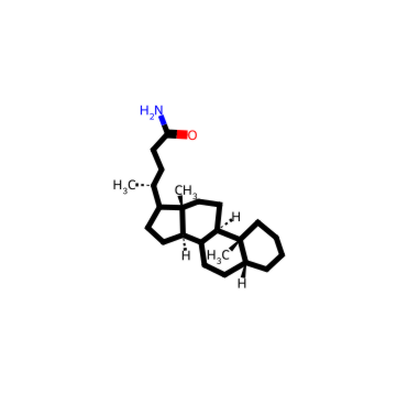 C[C@H](CCC(N)=O)C1CC[C@@H]2C3CC[C@H]4CCCC[C@@]4(C)[C@@H]3CC[C@@]12C